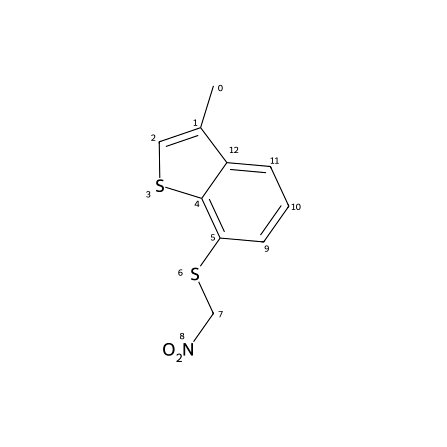 Cc1csc2c(SC[N+](=O)[O-])cccc12